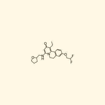 CCc1c2n(c(NCC3CCCO3)cc1=O)CCc1cc(OCC(F)F)ccc1-2